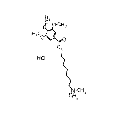 COc1cc(C(=O)OCCCCCCCCN(C)C)cc(OC)c1OC.Cl